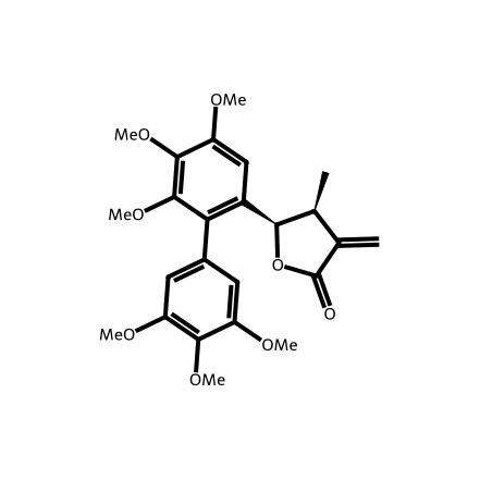 C=C1C(=O)O[C@@H](c2cc(OC)c(OC)c(OC)c2-c2cc(OC)c(OC)c(OC)c2)[C@H]1C